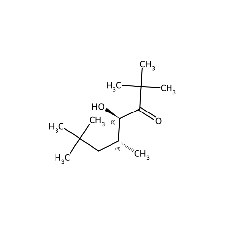 C[C@H](CC(C)(C)C)[C@@H](O)C(=O)C(C)(C)C